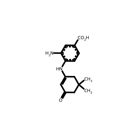 CC1(C)CC(=O)C=C(Nc2ccc(C(=O)O)cc2N)C1